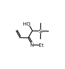 C=CC(=NCC)C(O)[Si](C)(C)C